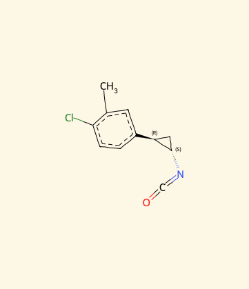 Cc1cc([C@H]2C[C@@H]2N=C=O)ccc1Cl